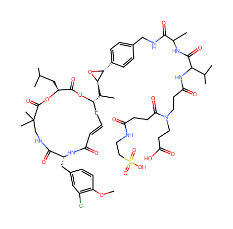 COc1ccc(C[C@H]2NC(=O)/C=C/C[C@@H](C(C)[C@H]3O[C@@H]3c3ccc(CNC(=O)C(C)NC(=O)C(NC(=O)CCN(CCC(=O)O)C(=O)CCC(=O)NCCS(=O)(=O)O)C(C)C)cc3)OC(=O)[C@H](CC(C)C)OC(=O)C(C)(C)CNC2=O)cc1Cl